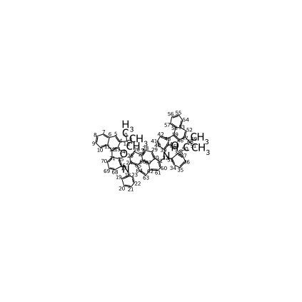 CC(C)(C)c1cc2ccccc2c2c1oc1c(N(c3ccccc3)c3ccc4ccc5c(N(c6ccccc6)c6cccc7c6oc6c(C(C)(C)C)cc8ccccc8c67)ccc6ccc3c4c65)cccc12